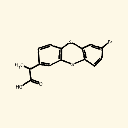 CC(C(=O)O)c1ccc2c(c1)Sc1ccc(Br)cc1S2